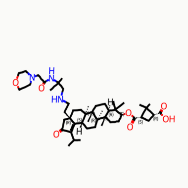 CC(C)C1=C2[C@H]3CC[C@@]4(C)[C@@](C)(CC[C@H]5C(C)(C)[C@@H](OC(=O)[C@H]6C[C@@H](C(=O)O)C6(C)C)CC[C@@]54C)[C@]3(C)CC[C@@]2(CCNCC(C)(C)NC(=O)CN2CCOCC2)CC1=O